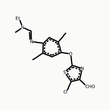 CCN(C)C=Nc1cc(C)c(Oc2nc(C=O)c(Cl)s2)cc1C